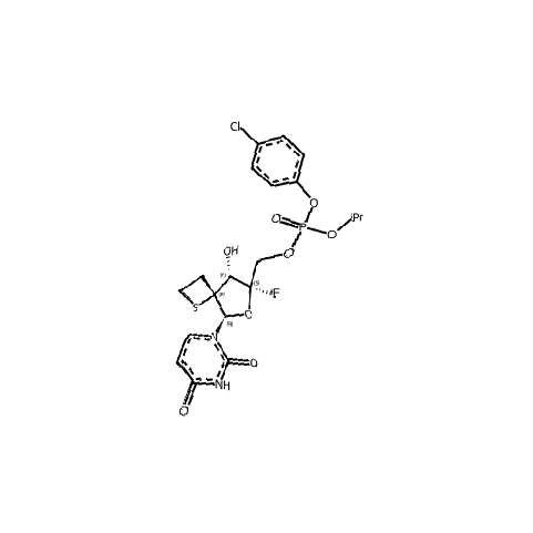 CC(C)OP(=O)(OC[C@@]1(F)O[C@@H](n2ccc(=O)[nH]c2=O)[C@@]2(CCS2)[C@@H]1O)Oc1ccc(Cl)cc1